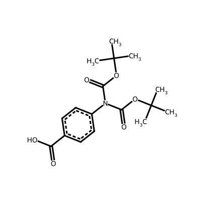 CC(C)(C)OC(=O)N(C(=O)OC(C)(C)C)c1ccc(C(=O)O)cc1